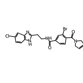 O=C(NCCc1nc2cc(Cl)ccc2[nH]1)c1ccc(C(=O)N2CC=CC2)c(Br)c1